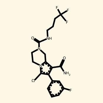 NC(=O)c1c(-c2cccc(F)c2)c(Cl)n2c1CN(C(=O)NCCCC(F)(F)F)CC2